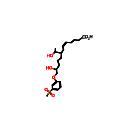 CC(O)C(C/C=C\CCCC(=O)O)CCCC(O)COc1cccc(S(C)(=O)=O)c1